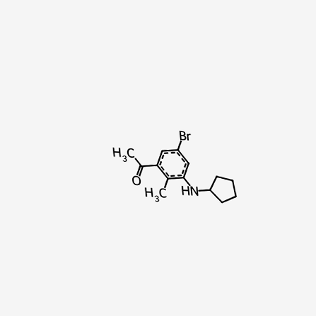 CC(=O)c1cc(Br)cc(NC2CCCC2)c1C